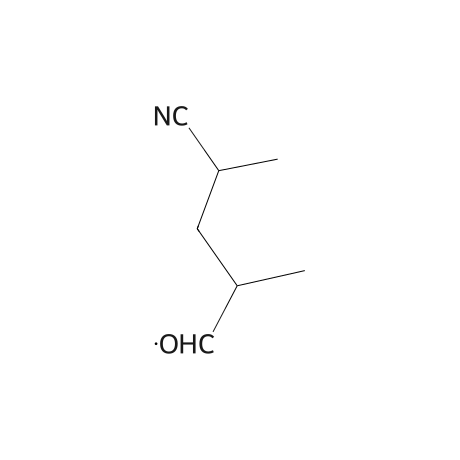 CC([C]=O)CC(C)C#N